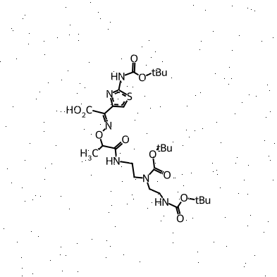 CC(ON=C(C(=O)O)c1csc(NC(=O)OC(C)(C)C)n1)C(=O)NCCN(CCNC(=O)OC(C)(C)C)C(=O)OC(C)(C)C